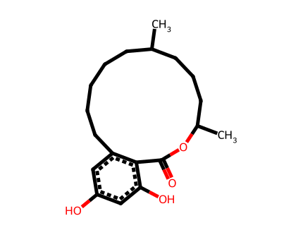 CC1CCCCCc2cc(O)cc(O)c2C(=O)OC(C)CCC1